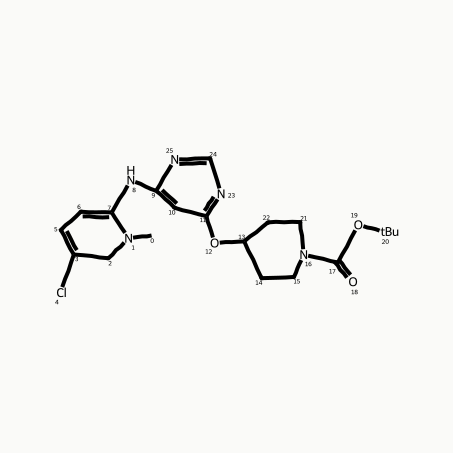 CN1CC(Cl)=CC=C1Nc1cc(OC2CCN(C(=O)OC(C)(C)C)CC2)ncn1